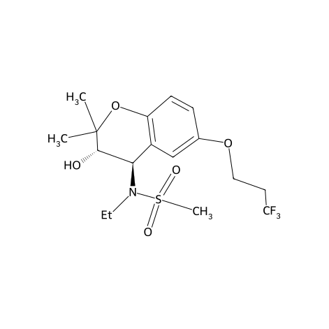 CCN([C@@H]1c2cc(OCCC(F)(F)F)ccc2OC(C)(C)[C@H]1O)S(C)(=O)=O